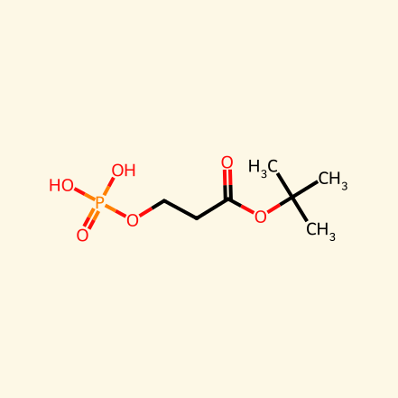 CC(C)(C)OC(=O)CCOP(=O)(O)O